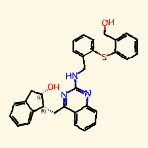 OCc1ccccc1Sc1ccccc1CNc1nc(C[C@@H]2c3ccccc3C[C@@H]2O)c2ccccc2n1